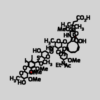 CCN(C(C)=O)[C@H]1CO[C@@H](O[C@H]2[C@H](O[C@H]3C#C/C=C\C#C[C@]4(O)CC(=O)C(NC(=O)OC)=C3/C4=C\CSSC(C)(C)CCC(=O)O)O[C@H](C)[C@@H](NO[C@H]3C[C@H](O)[C@H](SC(=O)c4c(I)c(I)c(O[C@@H]5O[C@@H](C)[C@H](O)[C@@H](OC)[C@H]5O)c(OC)c4OC)[C@@H](C)O3)[C@@H]2C)C[C@@H]1OC